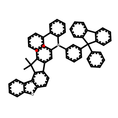 CC1(C)c2ccc(N(c3cccc(C4(c5ccccc5)c5ccccc5-c5ccccc54)c3)c3ccccc3-c3ccccc3)cc2-c2ccc3oc4ccccc4c3c21